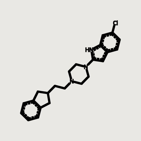 Clc1ccc2cc(N3CCN(CCC4Cc5ccccc5C4)CC3)[nH]c2c1